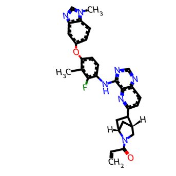 C=CC(=O)N1C[C@@H]2C[C@H]1CC2c1ccc2ncnc(Nc3ccc(Oc4ccc5c(c4)ncn5C)c(C)c3F)c2n1